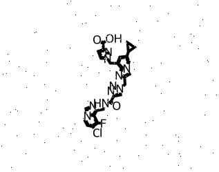 O=C(O)c1ccn(Cc2cc(C3CC3)cn3cc(Cn4cc(C(=O)NCc5ncn6ccc(Cl)c(F)c56)nn4)nc23)n1